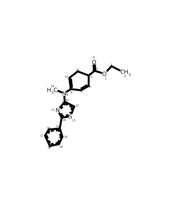 CCOC(=O)C1C=CC(N(C)c2csc(-c3ccccc3)n2)=CC1